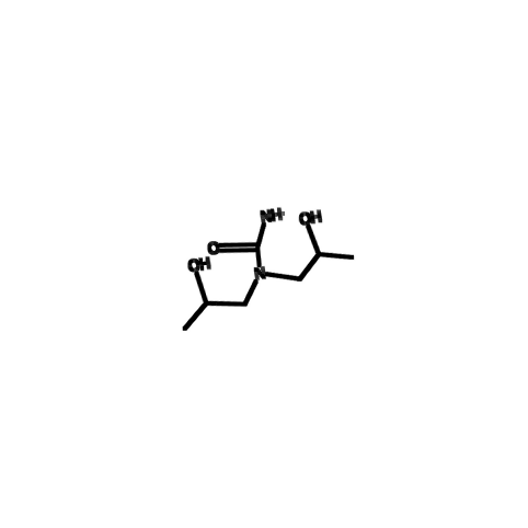 CC(O)CN(CC(C)O)C([NH])=O